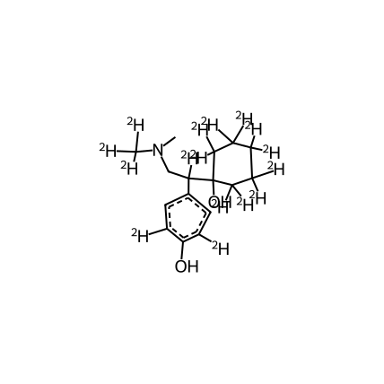 [2H]c1cc(C([2H])(CN(C)C([2H])([2H])[2H])C2(O)C([2H])([2H])C([2H])([2H])C([2H])([2H])C([2H])([2H])C2([2H])[2H])cc([2H])c1O